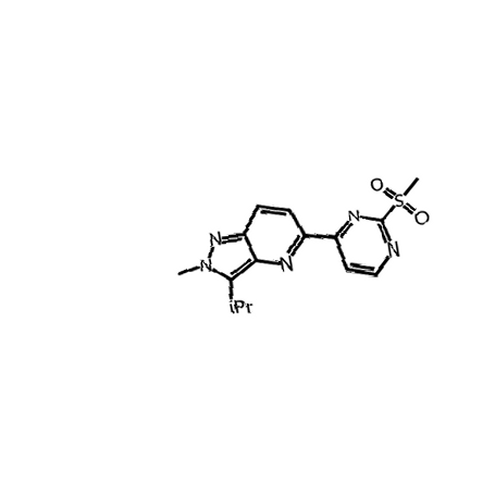 CC(C)c1c2nc(-c3ccnc(S(C)(=O)=O)n3)ccc2nn1C